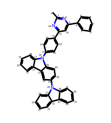 Cc1nc(-c2ccccc2)cc(-c2ccc(-n3c4ccccc4c4cc(-n5c6ccccc6c6ccccc65)ccc43)cc2)n1